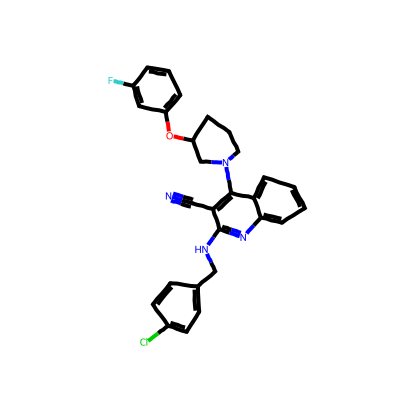 N#Cc1c(NCc2ccc(Cl)cc2)nc2ccccc2c1N1CCCC(Oc2cccc(F)c2)C1